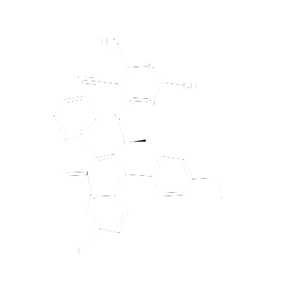 COc1ccc(-c2c([C@H](C)Nc3nc(N)nc(N)c3C#N)c(-c3ccccc3)c(=O)n3cc(F)ccc23)cc1